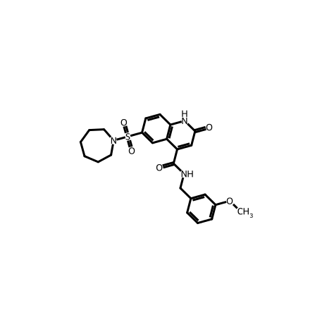 COc1cccc(CNC(=O)c2cc(=O)[nH]c3ccc(S(=O)(=O)N4CCCCCC4)cc23)c1